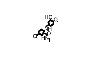 CCNC(=O)c1cc(Cl)ccc1NCc1ccc(OC)c(O)c1